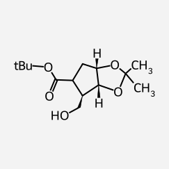 CC(C)(C)OC(=O)C1C[C@@H]2OC(C)(C)O[C@@H]2[C@H]1CO